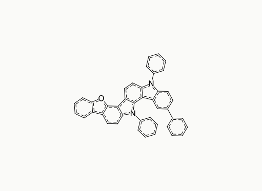 c1ccc(-c2ccc3c(c2)c2c(ccc4c5c6oc7ccccc7c6ccc5n(-c5ccccc5)c42)n3-c2ccccc2)cc1